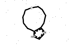 c1nc2c([nH]1)CCCCCCCCC2